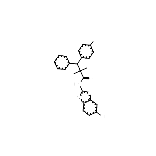 CC(C)(C(=O)Nc1nc2ccc(Cl)cc2s1)C(c1ccccc1)c1ccc(C(F)(F)F)cc1